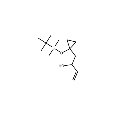 C=CC(O)CC1(O[Si](C)(C)C(C)(C)C)CC1